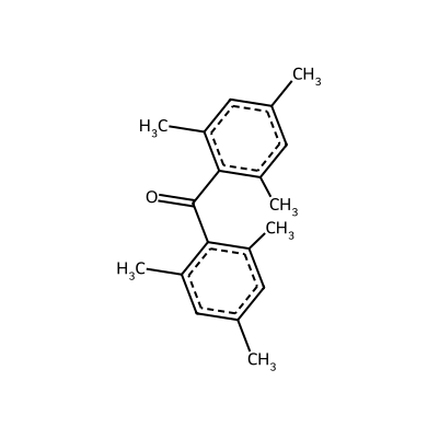 Cc1cc(C)c(C(=O)c2c(C)cc(C)cc2C)c(C)c1